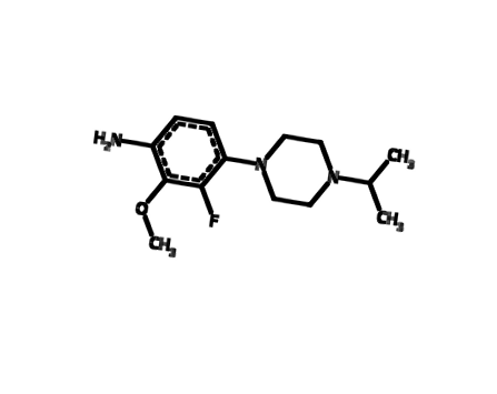 COc1c(N)ccc(N2CCN(C(C)C)CC2)c1F